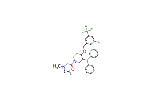 CN(C)CC(=O)N1CCC(OCc2cc(F)cc(C(F)(F)F)c2)C(C(c2ccccc2)c2ccccc2)C1